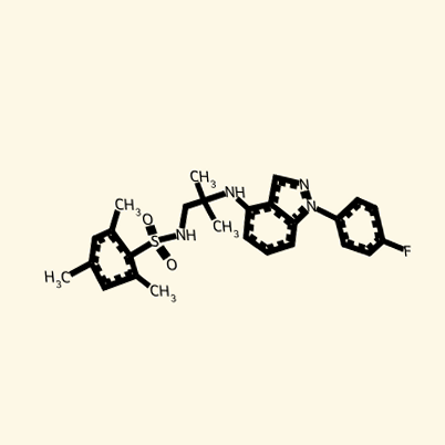 Cc1cc(C)c(S(=O)(=O)NCC(C)(C)Nc2cccc3c2cnn3-c2ccc(F)cc2)c(C)c1